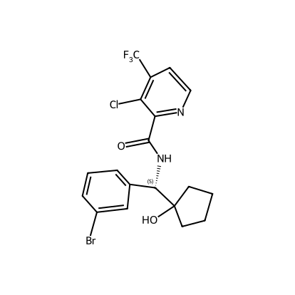 O=C(N[C@@H](c1cccc(Br)c1)C1(O)CCCC1)c1nccc(C(F)(F)F)c1Cl